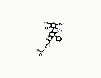 CCN(CC)CCCCNc1nnc2cc(-c3c(C)c(OC)cc(OC)c3C)c(=O)n(C3CCCC3)c2n1